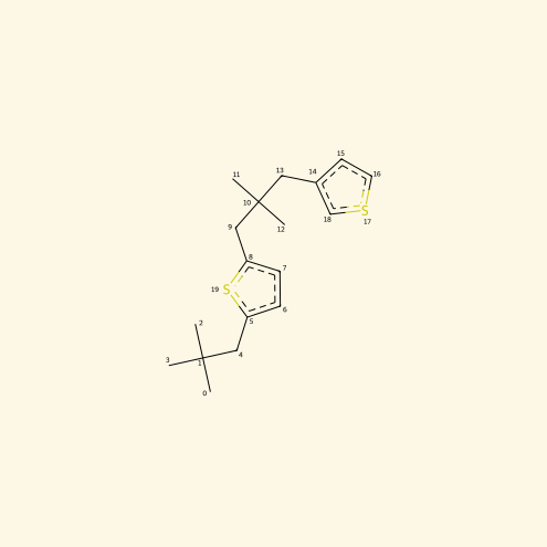 CC(C)(C)Cc1ccc(CC(C)(C)Cc2ccsc2)s1